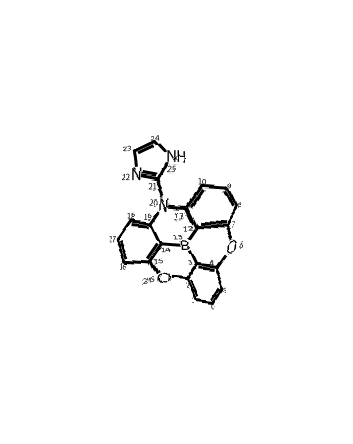 c1cc2c3c(c1)Oc1cccc4c1B3c1c(cccc1N4c1ncc[nH]1)O2